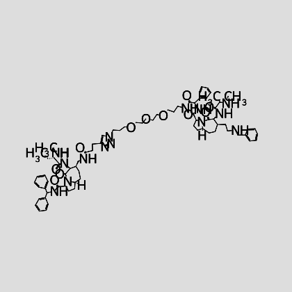 CC[C@H](NC)C(=O)N[C@@H]1C(=O)N2[C@@H](CC[C@@H]1CNC(=O)CCc1cn(CCCOCCOCCOCCCNC(=O)[C@@H](NC(=O)[C@@H]3CC[C@@H]4CC[C@H](CCNCc5ccccc5)[C@H](NC(=O)[C@H](C)NC)C(=O)N43)c3ccccc3)nn1)CC[C@H]2C(=O)NC(c1ccccc1)c1ccccc1